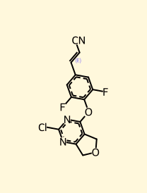 N#C/C=C/c1cc(F)c(Oc2nc(Cl)nc3c2COC3)c(F)c1